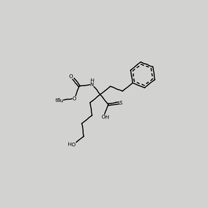 CC(C)(C)OC(=O)NC(CCCCO)(CCc1ccccc1)C(O)=S